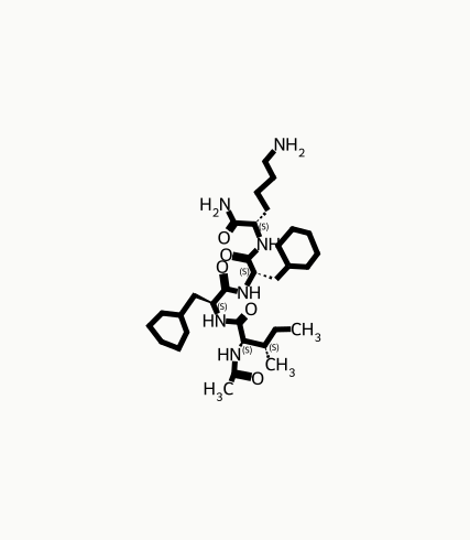 CC[C@H](C)[C@H](NC(C)=O)C(=O)N[C@@H](CC1CCCCC1)C(=O)N[C@@H](CC1CCCCC1)C(=O)N[C@@H](CCCCN)C(N)=O